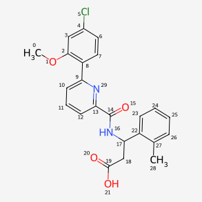 COc1cc(Cl)ccc1-c1cccc(C(=O)NC(CC(=O)O)c2ccccc2C)n1